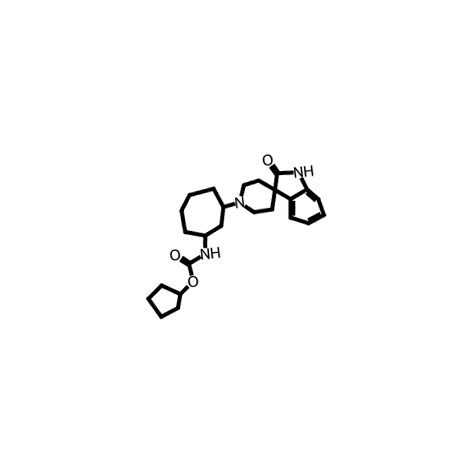 O=C(NC1CCCCC(N2CCC3(CC2)C(=O)Nc2ccccc23)C1)OC1CCCC1